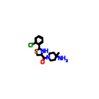 CC1(N)CCN(C(=O)C2CSC(c3ccccc3Cl)N2)CC1